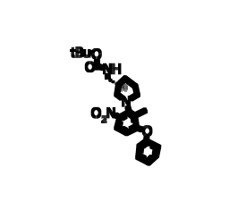 Cc1c(Oc2ccccc2)ccc([N+](=O)[O-])c1N1CCC[C@@H](CNC(=O)OC(C)(C)C)C1